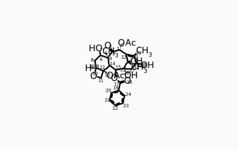 CC(=O)O[C@H]1C(=O)[C@]2(C)C(O)C[C@H]3OC[C@@]3(OC(C)=O)C2C(OC(=O)c2ccccc2)[C@]2(O)CC(O)C(C)=C1C2(C)C